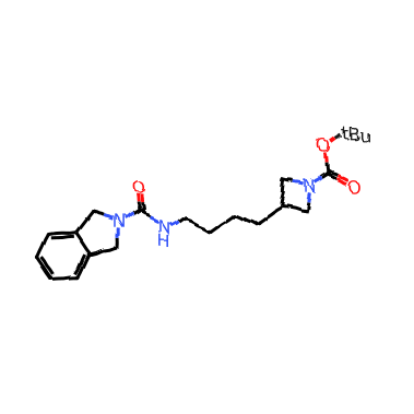 CC(C)(C)OC(=O)N1CC(CCCCNC(=O)N2Cc3ccccc3C2)C1